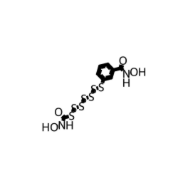 O=C(NO)SSSSSSSc1cccc(C(=O)NO)c1